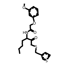 CCCCC(NC(=O)COc1cccc(OC)c1)C(=O)CSCc1ccsc1